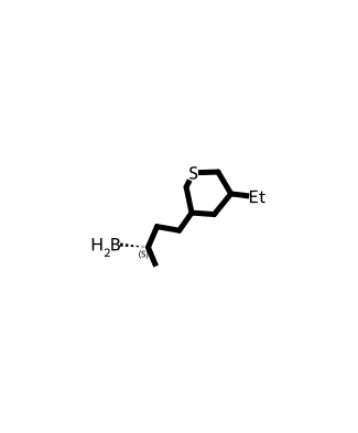 B[C@@H](C)CCC1CSCC(CC)C1